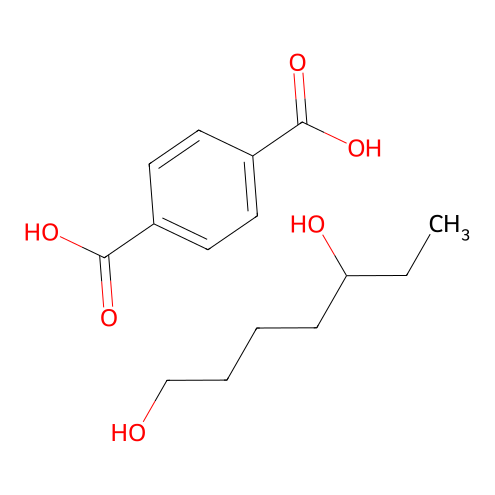 CCC(O)CCCCO.O=C(O)c1ccc(C(=O)O)cc1